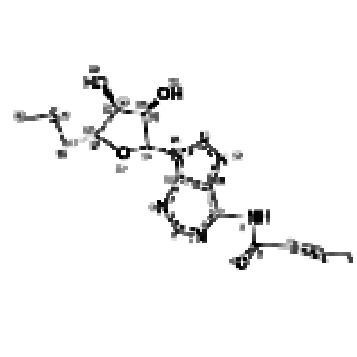 CC#CC(=O)Nc1ncnc2c1ncn2C1O[C@H](CSC)[C@@H](O)[C@H]1O